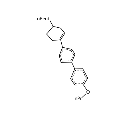 CCCCCC1CC=C(c2ccc(-c3ccc(OCCC)cc3)cc2)CC1